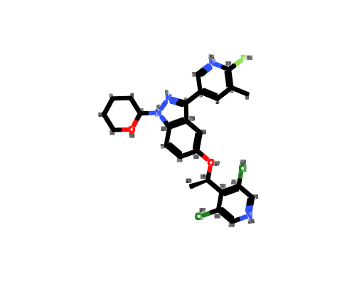 Cc1cc(-c2nn(C3CCCCO3)c3ccc(O[C@H](C)c4c(Cl)cncc4Cl)cc23)cnc1F